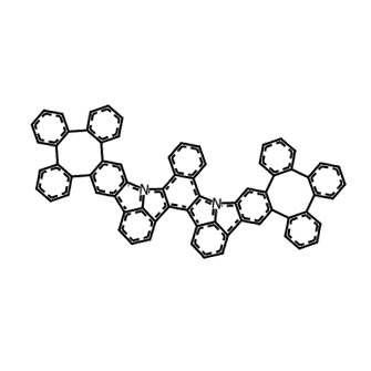 c1ccc2c(c1)-c1ccccc1-c1cc3c4cccc5c6c7c8cccc9c%10cc%11c(cc%10n(c98)c7c7ccccc7c6n(c3cc1-c1ccccc1-2)c45)-c1ccccc1-c1ccccc1-c1ccccc1-%11